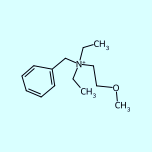 CC[N+](CC)(CCOC)Cc1ccccc1